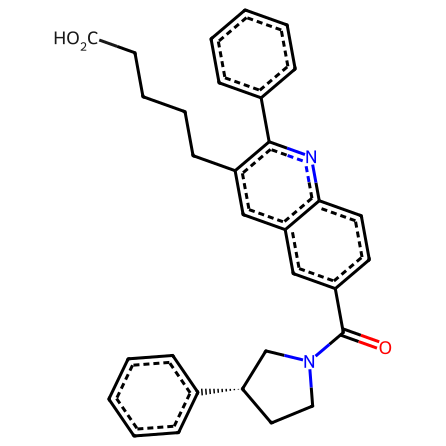 O=C(O)CCCCc1cc2cc(C(=O)N3CC[C@H](c4ccccc4)C3)ccc2nc1-c1ccccc1